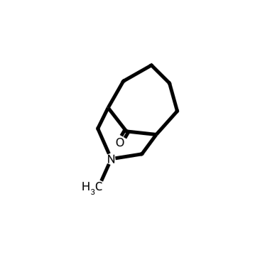 CN1CC2CCCCC(C1)C2=O